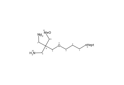 CCCCCCCCCCOCC(CN)(CN)COC